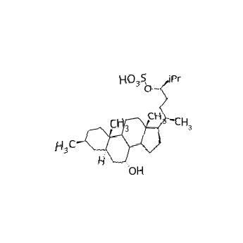 CC(C)[C@@H](CC[C@@H](C)[C@H]1CCC2C3C(CC[C@@]21C)[C@@]1(C)CC[C@H](C)C[C@@H]1C[C@H]3O)OS(=O)(=O)O